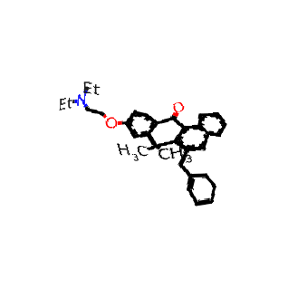 CCN(CC)CCOc1ccc2c(c1)C(C)(C)c1c(CC3=CC=CCC3)cc3ccccc3c1C2=O